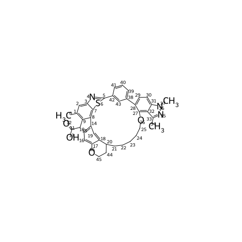 Cc1cc2nc3sc2c(c1CC(=O)O)-c1ccc2c(c1)C(CCCCCOc1c(ccc4c1c(C)nn4C)-c1cccc-3c1)CCO2